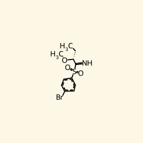 CC[C@@H](OC)C(=N)S(=O)(=O)c1ccc(Br)cc1